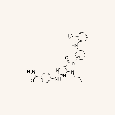 CCCNc1nc(Nc2ccc(C(N)=O)cc2)ncc1C(=O)N[C@H]1CCCC(Nc2ccccc2N)C1